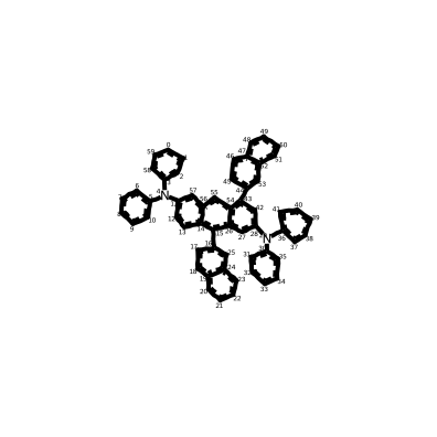 c1ccc(N(c2ccccc2)c2ccc3c(-c4ccc5ccccc5c4)c4cc(N(c5ccccc5)c5ccccc5)cc(-c5ccc6ccccc6c5)c4cc3c2)cc1